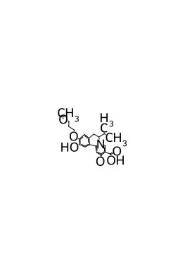 COCCCOc1cc2c(cc1O)-c1cc(=O)c(C(=O)O)cn1C(C(C)C)C2